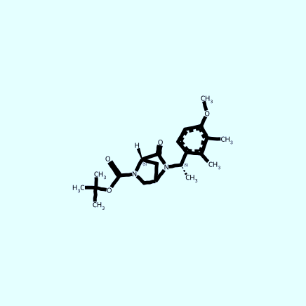 COc1ccc([C@H](C)N2C(=O)[C@@H]3CC2CN3C(=O)OC(C)(C)C)c(C)c1C